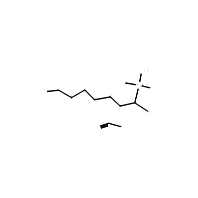 C=CC.CCCCCCCC(N)[N+](C)(C)C.[Cl-]